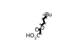 CCC(C)CCCCOC(=O)CC(=O)O